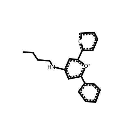 CCCCNc1cc(-c2ccccc2)[o+]c(-c2ccccc2)c1